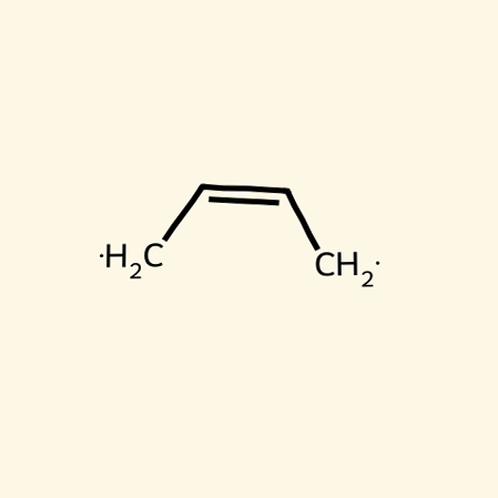 [CH2]/C=C\[CH2]